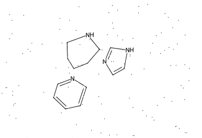 C1CCNCC1.c1c[nH]cn1.c1ccncc1